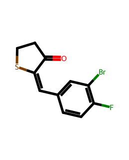 O=C1CCSC1=Cc1ccc(F)c(Br)c1